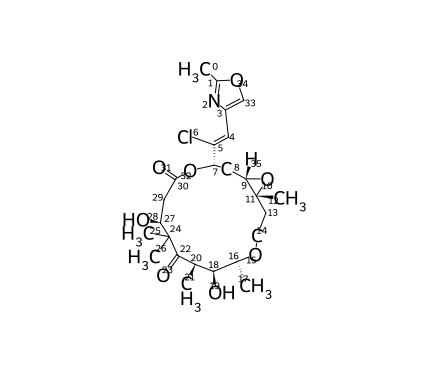 Cc1nc(C=C(Cl)[C@@H]2C[C@@H]3O[C@]3(C)CCO[C@H](C)[C@@H](O)[C@@H](C)C(=O)C(C)(C)[C@@H](O)CC(=O)O2)co1